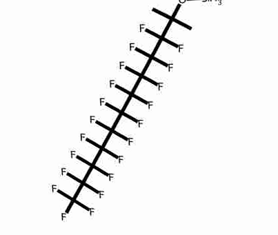 CC(C)(O[SiH3])C(F)(F)C(F)(F)C(F)(F)C(F)(F)C(F)(F)C(F)(F)C(F)(F)C(F)(F)C(F)(F)C(F)(F)F